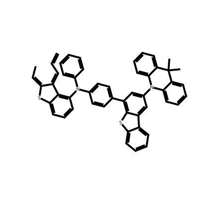 C=C/C=c1\c(=C/C)sc2cccc(N(c3ccccc3)c3ccc(-c4cc(N5c6ccccc6C(C)(C)c6ccccc65)cc5c4sc4ccccc45)cc3)c12